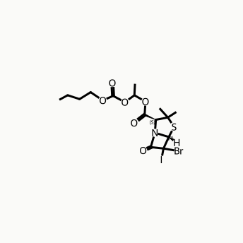 CCCCOC(=O)OC(C)OC(=O)[C@@H]1N2C(=O)C(Br)(I)[C@H]2SC1(C)C